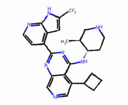 C[C@H]1CNCC[C@@H]1Nc1nc(-c2ccnc3[nH]c(C(F)(F)F)cc23)nc2cncc(C3CCC3)c12